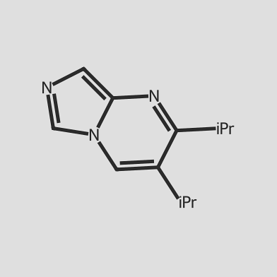 CC(C)c1cn2cncc2nc1C(C)C